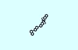 c1ccc2cc3c(cc2c1)sc1c2cc4cc(-c5ccc6cc(-c7cccc8ccccc78)ccc6c5)ccc4cc2sc31